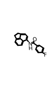 O=C(Nc1ccc2c3c(cccc13)CC2)c1ccc(F)cc1